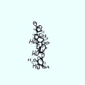 C[C@H]1O[C@@H](O[C@H]2CC[C@]3(C=O)C4CC[C@]5(C)[C@@H](C6=CC(=O)OC6)CC[C@]5(O)C4CC[C@]3(O)C2)C[C@@H](O)[C@@H]1O